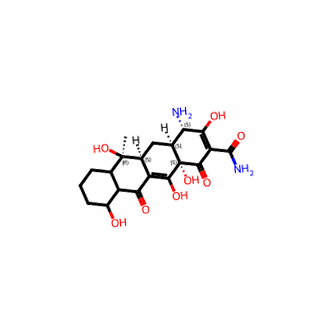 C[C@@]1(O)C2CCCC(O)C2C(=O)C2=C(O)[C@]3(O)C(=O)C(C(N)=O)=C(O)[C@@H](N)[C@@H]3C[C@@H]21